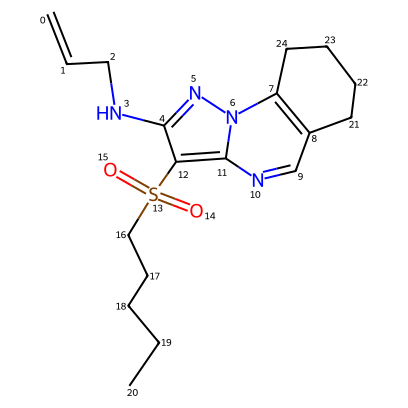 C=CCNc1nn2c3c(cnc2c1S(=O)(=O)CCCCC)CCCC3